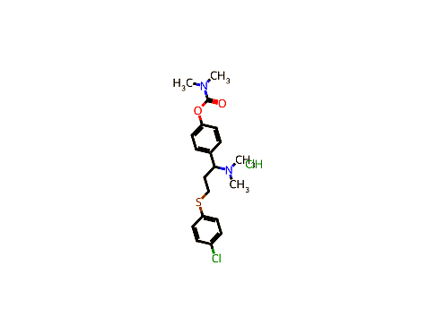 CN(C)C(=O)Oc1ccc(C(CCSc2ccc(Cl)cc2)N(C)C)cc1.Cl